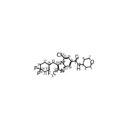 O=C(NC1CCOCC1)c1cc(Cl)n2c(CC3CCC(F)(F)CC3)c(C(F)(F)F)nc2c1